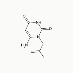 C=C(C)Cn1c(N)cc(=O)[nH]c1=O